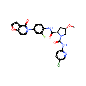 CO[C@@H]1C[C@H](C(=O)Nc2ccc(-n3ccc4occc4c3=O)cc2F)N(C(=O)Nc2ccc(Cl)cn2)C1